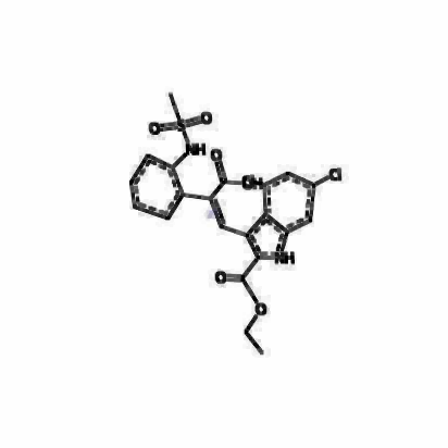 CCOC(=O)c1[nH]c2cc(Cl)cc(Cl)c2c1/C=C(\C(=O)O)c1ccccc1NS(C)(=O)=O